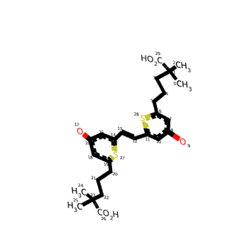 CC(C)(CCCc1cc(=O)cc(C=Cc2cc(=O)cc(CCCC(C)(C)C(=O)O)s2)s1)C(=O)O